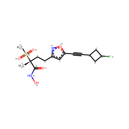 C[C@@](CCc1cc(C#CC2CC(F)C2)on1)(C(=O)NO)S(C)(=O)=O